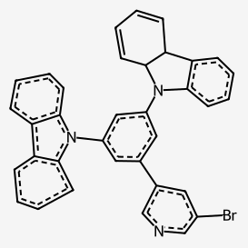 Brc1cncc(-c2cc(N3c4ccccc4C4C=CC=CC43)cc(-n3c4ccccc4c4ccccc43)c2)c1